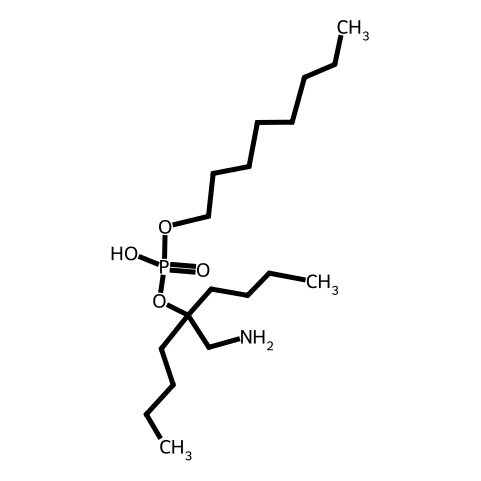 CCCCCCCCOP(=O)(O)OC(CN)(CCCC)CCCC